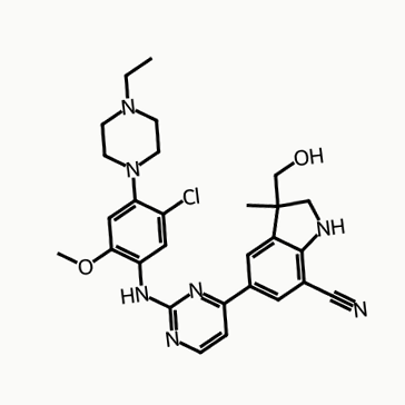 CCN1CCN(c2cc(OC)c(Nc3nccc(-c4cc(C#N)c5c(c4)C(C)(CO)CN5)n3)cc2Cl)CC1